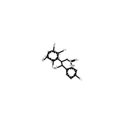 N#CC(c1ccc(F)cc1)C(CS(=O)O)c1c(F)c(F)cc(Cl)c1F